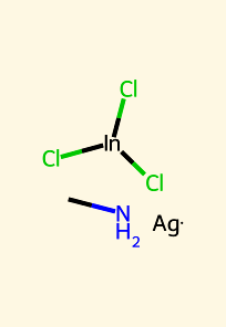 CN.[Ag].[Cl][In]([Cl])[Cl]